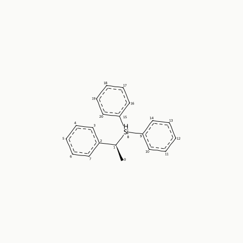 C[C@@H](c1ccccc1)[SiH](c1ccccc1)c1ccccc1